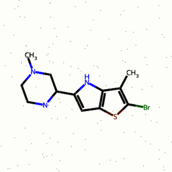 Cc1c(Br)sc2cc(C3CN(C)CC[N]3)[nH]c12